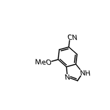 COc1cc(C#N)cc2[nH]cnc12